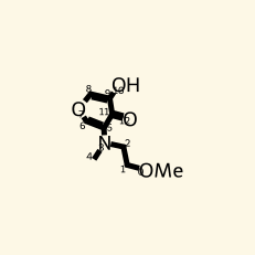 COCCN(C)c1cocc(O)c1=O